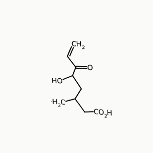 [CH2]C(CC(=O)O)CC(O)C(=O)C=C